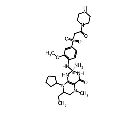 CCC1CN(C)C2=C(N[C@@](N)(Nc3ccc(S(=O)(=O)CC(=O)N4CCNCC4)cc3OC)NC2=O)N1C1CCCC1